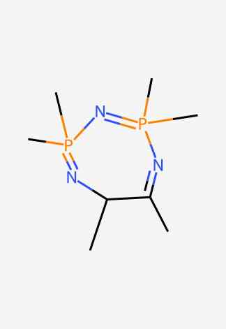 CC1=NP(C)(C)=NP(C)(C)=NC1C